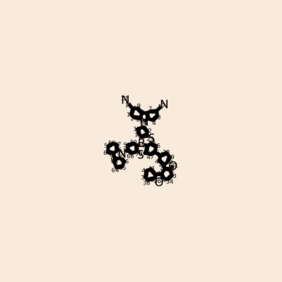 N#Cc1ccc2c(c1)c1cc(C#N)ccc1n2-c1ccc2c(c1)Sc1cc(-c3ccc4oc5ccc6oc7ccccc7c6c5c4c3)cc3c1B2c1ccc(-n2c4ccccc4c4ccccc42)cc1S3